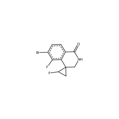 O=C1NCC2(CC2F)c2c1ccc(Br)c2F